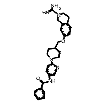 N=C(N)N1CCc2ccc(OCC3CCN(c4ccc(NC(=O)c5ccccc5)cn4)CC3)cc2C1